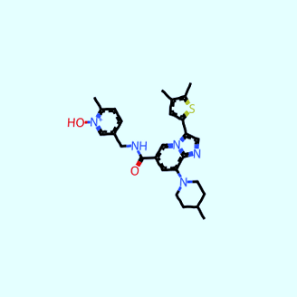 Cc1cc(-c2cnc3c(N4CCC(C)CC4)cc(C(=O)NCc4ccc(C)[n+](O)c4)cn23)sc1C